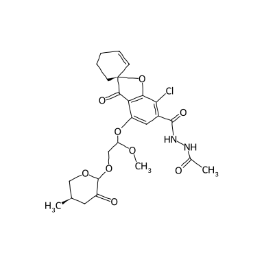 COC(COC1OC[C@H](C)CC1=O)Oc1cc(C(=O)NNC(C)=O)c(Cl)c2c1C(=O)[C@]1(C=CCCC1)O2